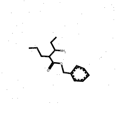 CCCC(C(=O)OCc1ccccc1)C(N)CC